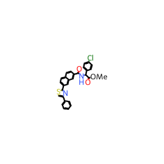 COC(=O)C(NC(=O)c1ccc2ccc(-c3nc(-c4ccccc4)cs3)cc2c1)c1ccc(Cl)cc1